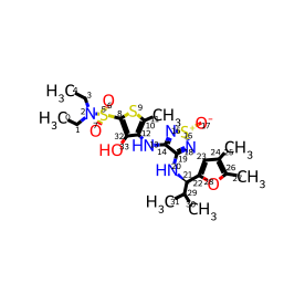 CCN(CC)S(=O)(=O)c1sc(C)c(Nc2n[s+]([O-])nc2N[C@@H](c2cc(C)c(C)o2)C(C)C)c1O